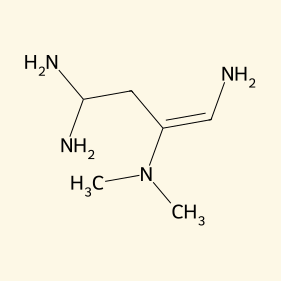 CN(C)/C(=C/N)CC(N)N